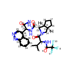 CC(C)C(NC(=O)C(F)(F)F)C(=O)N1C[C@@H]2CCC[C@@H]2[C@H]1C(=O)NC(C(N)=O)c1cnnc2ccccc12